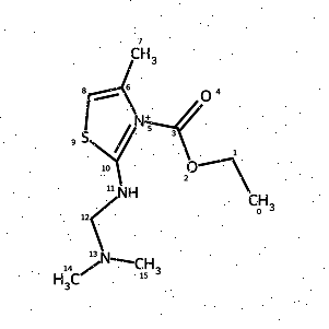 CCOC(=O)[n+]1c(C)csc1NCN(C)C